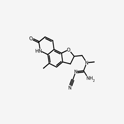 Cc1cc2c(c3ccc(=O)[nH]c13)OC(CN(C)C(N)=NC#N)C2